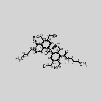 CCCCNC(=O)c1c(CBr)c(CBr)cc(S(=O)(=O)c2cc(CBr)c(CBr)c(C(=O)NCCCC)c2CBr)c1CBr